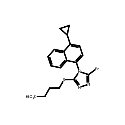 CCOC(=O)CCCSc1nnc(Br)n1-c1ccc(C2CC2)c2ccccc12